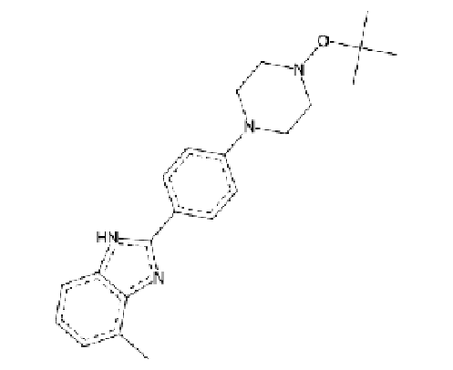 Cc1cccc2[nH]c(-c3ccc(N4CCN(OC(C)(C)C)CC4)cc3)nc12